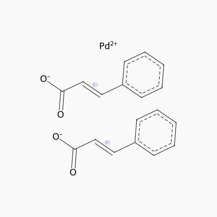 O=C([O-])/C=C/c1ccccc1.O=C([O-])/C=C/c1ccccc1.[Pd+2]